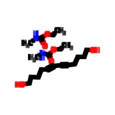 CCOC(=O)NC.CCOC(=O)NC.OCCCCC#CC#CCCCCO